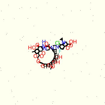 CO[C@H]1/C=C/O[C@@]2(C)Oc3c(C)c(O)c4c(c3C2=O)C(=O)C(N2CCC(N3CCN(c5c(F)cc6c(=O)c(C(=O)O)cn(C7CC7)c6c5Cl)CC3)CC2)=C(NC(=O)/C(C)=C\C=C\[C@H](C)[C@H](O)[C@@H](C)[C@@H](O)[C@@H](C)[C@H](OC(C)=O)[C@@H]1C)C4=O